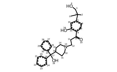 CC(C)(CO)c1ccc(C(=O)CCN2CCC(C(O)(c3ccccc3)c3ccccc3)CC2)c(O)c1